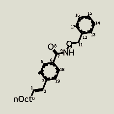 CCCCCCCCC=Cc1ccc(C(=O)NOCc2ccccc2)cc1